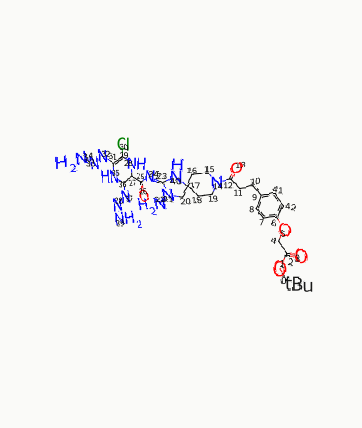 CC(C)(C)OC(=O)COc1ccc(CCC(=O)N2CCC3(CC2)CN(N)/C(=N\C(=O)C2NC(Cl)=C(N=NN)NC2N=NN)N3)cc1